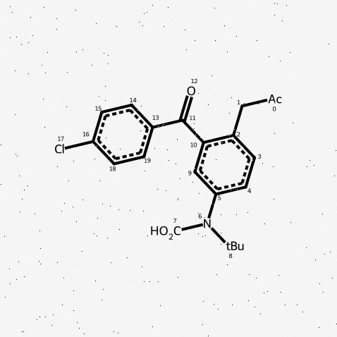 CC(=O)Cc1ccc(N(C(=O)O)C(C)(C)C)cc1C(=O)c1ccc(Cl)cc1